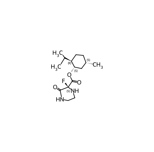 CC(C)[C@H]1CC[C@H](C)C[C@@H]1OC(=O)[C@]1(F)NCCNC1=O